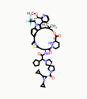 CO[C@@H](C)c1ncccc1-c1c2c3cc(ccc3n1CC(F)(F)F)-c1csc(n1)C[C@H](NC(=O)C(C1CCCC1)N1CC[C@]3(CCN(C(=O)[C@H]4C(C5CC5)N4C4CC4)C3)C1)C(=O)N1CCC[C@H](N1)C(=O)OCC(C)(C)C2